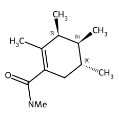 CNC(=O)C1=C(C)[C@@H](C)[C@@H](C)[C@H](C)C1